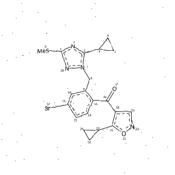 CSc1nc(C2CC2)n(Cc2cc(Br)ccc2C(=O)c2cnoc2C2CC2)n1